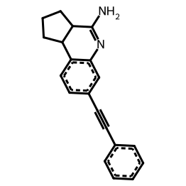 NC1=Nc2cc(C#Cc3ccccc3)ccc2C2CCCC12